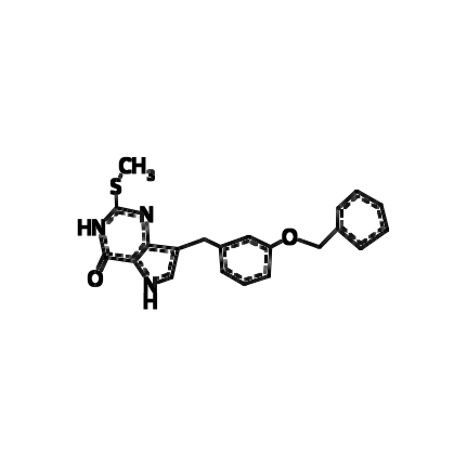 CSc1nc2c(Cc3cccc(OCc4ccccc4)c3)c[nH]c2c(=O)[nH]1